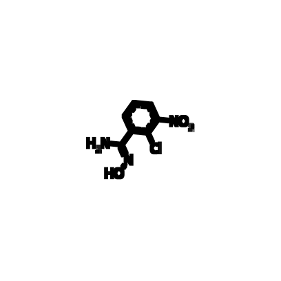 NC(=NO)c1cccc([N+](=O)[O-])c1Cl